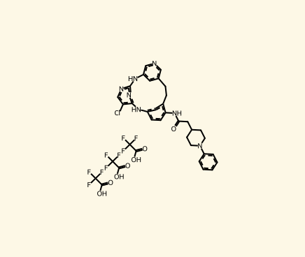 O=C(CC1CCN(c2ccccc2)CC1)Nc1ccc2cc1CCc1cncc(c1)Nc1ncc(Cl)c(n1)N2.O=C(O)C(F)(F)F.O=C(O)C(F)(F)F.O=C(O)C(F)(F)F